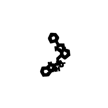 [O-][S+](Cc1cccn2cc(-c3ccccc3)nc12)c1nc2ccccc2[nH]1